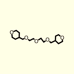 C(COCC1CCOCC1)OCCOCC1CCOCC1